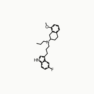 CCCN(CCCc1c[nH]c2ccc(F)cc12)C1CCc2cccc(OC)c2C1